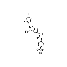 CCS(=O)(=O)c1ccc(CC(=O)Nc2nc3c(s2)CN(Cc2ccc(F)cc2F)[C@H]3C(C)C)cc1